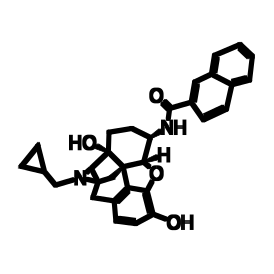 O=C(N[C@@H]1CC[C@@]2(O)C3N(CC4CC4)C34Cc3ccc(O)c5c3[C@@]2(C4)[C@H]1O5)c1ccc2ccccc2c1